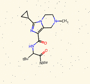 CNC(=O)C(NC(=O)c1nc(C2CC2)n2c1CN(C)CC2)C(C)(C)C